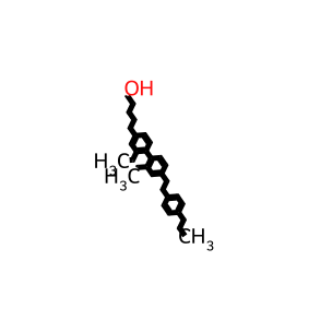 CCCc1ccc(CCc2ccc(-c3ccc(CCCCCO)cc3CC)c(CC)c2)cc1